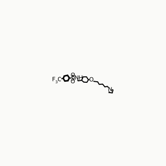 O=S(=O)(NCC1CCC(OCCCCCCN2CCC2)CC1)c1ccc(C(F)(F)F)cc1